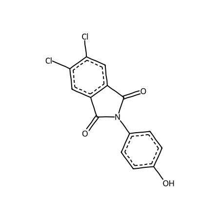 O=C1c2cc(Cl)c(Cl)cc2C(=O)N1c1ccc(O)cc1